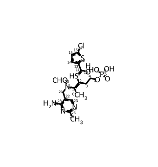 C/C(=C(CCOP(=O)(O)O)/[SH]=C(\O)c1ccc(Cl)s1)N(C=O)Cc1cnc(C)nc1N